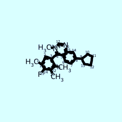 Cc1cc(-c2c3ccc(C4CCCC4)cc3nc[n+]2C)c(C)c(C)c1F